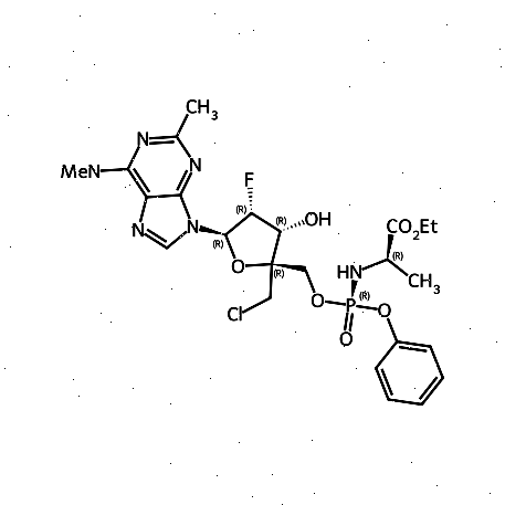 CCOC(=O)[C@@H](C)N[P@@](=O)(OC[C@@]1(CCl)O[C@@H](n2cnc3c(NC)nc(C)nc32)[C@H](F)[C@@H]1O)Oc1ccccc1